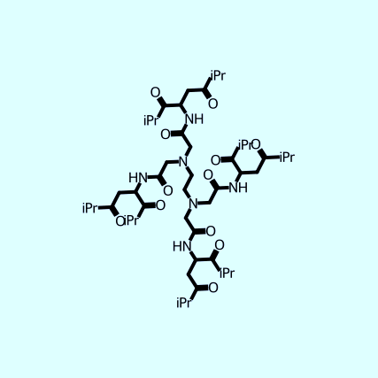 CC(C)C(=O)CC(NC(=O)CN(CCN(CC(=O)NC(CC(=O)C(C)C)C(=O)C(C)C)CC(=O)NC(CC(=O)C(C)C)C(=O)C(C)C)CC(=O)NC(CC(=O)C(C)C)C(=O)C(C)C)C(=O)C(C)C